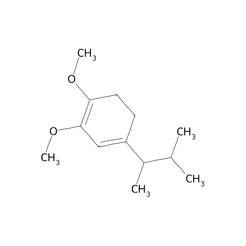 COC1=C(OC)CCC(C(C)C(C)C)=C1